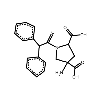 NC1(C(=O)O)CC(C(=O)O)N(C(=O)C(c2ccccc2)c2ccccc2)C1